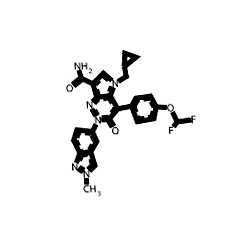 Cn1cc2cc(-n3nc4c(C(N)=O)cn(CC5CC5)c4c(-c4ccc(OC(F)F)cc4)c3=O)ccc2n1